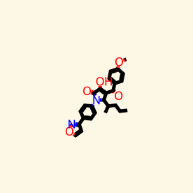 CCCC(C)C1C(C(=O)c2ccc(OC)cc2)=C(O)C(=O)N1c1ccc(-c2ccon2)cc1